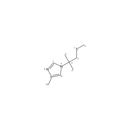 CSCC(C)(C)n1cnc(C)c1